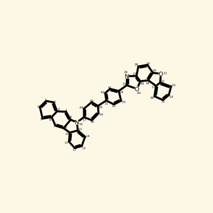 c1ccc2cc3c(cc2c1)c1ccccc1n3-c1ccc(-c2ccc(-c3nc4ccc5oc6ccccc6c5c4o3)cc2)cc1